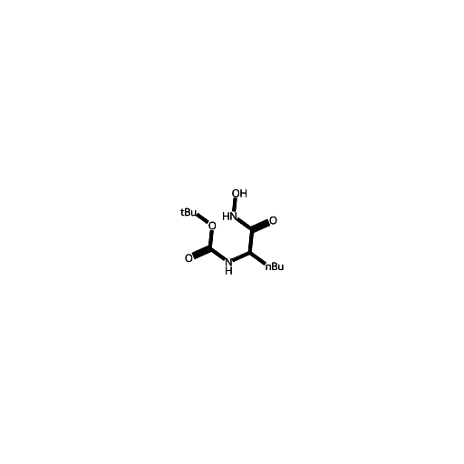 CCCCC(NC(=O)OC(C)(C)C)C(=O)NO